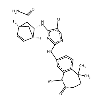 CC(C)N1C(=O)CCC(C)(C)c2ccc(Nc3ncc(Cl)c(N[C@H]4[C@@H](C(N)=O)[C@@H]5C=C[C@H]4C5)n3)cc21